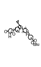 C[C@@H]1CN(CC2(F)CCN(C(=O)OC(C)(C)C)CC2)C[C@H](C)C1n1cc(C2CC2)c2cc(N3CCC(=O)NC3=O)cnc21